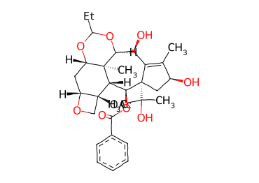 CCC1O[C@H]2C[C@H]3OC[C@@]3(OC(C)=O)[C@H]3[C@H](OC(=O)c4ccccc4)[C@]4(C(C)(C)O)C[C@H](O)C(C)=C4[C@H](O)[C@H](O1)[C@]23C